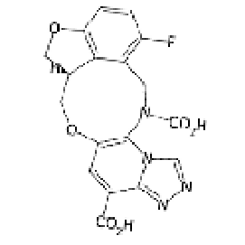 O=C(O)c1cc2c(n3cnnc13)N(C(=O)O)Cc1c(F)ccc3c1[C@@H](CO3)CO2